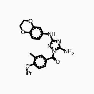 Cc1cc(C(=O)n2nc(Nc3ccc4c(c3)OCCO4)nc2N)ccc1OC(C)C